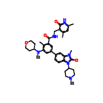 CCN1CCC(n2c(=O)n(C)c3cc(-c4cc(C(=O)NCc5c(C)cc(C)[nH]c5=O)c(C)c(N(CC)C5CCOCC5)c4)ccc32)CC1